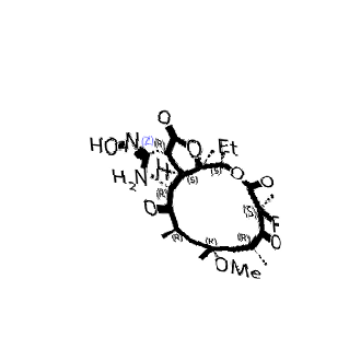 CC[C@@H]1OC(=O)[C@@](C)(F)C(=O)[C@H](C)C[C@](C)(OC)C[C@@H](C)C(=O)[C@H](C)[C@H]2[C@H](/C(N)=N/O)C(=O)O[C@]21C